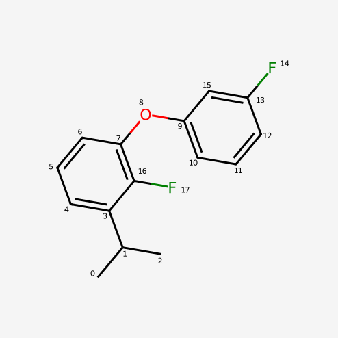 CC(C)c1cccc(Oc2cccc(F)c2)c1F